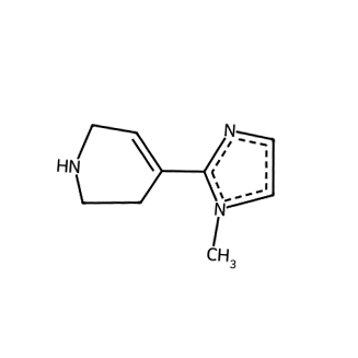 Cn1ccnc1C1=CCNCC1